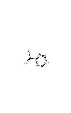 [O]C(=O)c1ccncc1